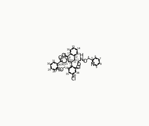 O=C(NOCc1ccccn1)[C@H]1c2ccccc2C(=O)N([C@H](CO)[C@H](O)c2ccccc2)[C@@H]1c1ccc(Cl)cc1Cl